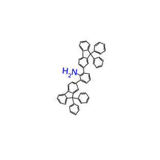 Nc1c(-c2ccc3c(c2)C(c2ccccc2)(c2ccccc2)c2ccccc2-3)cccc1-c1ccc2c(c1)C(c1ccccc1)(c1ccccc1)c1ccccc1-2